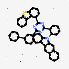 c1ccc(-c2cccc(-c3nc(-c4ccccc4-n4c5ccccc5c5cc6ccccc6cc54)nc(-c4cccc5sc6ccccc6c45)n3)c2)cc1